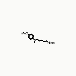 CCCCCCCCCCCCCCN(C)c1ccc(OC)cc1